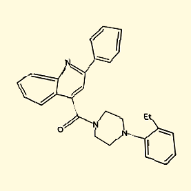 CCc1ccccc1N1CCN(C(=O)c2cc(-c3ccccc3)nc3ccccc23)CC1